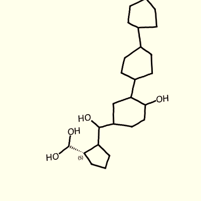 OC1CCC(C(O)C2CCC[C@@H]2C(O)O)CC1C1CCC(C2CCCCC2)CC1